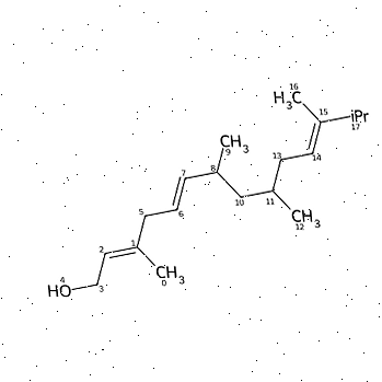 C/C(=C\CO)C/C=C/C(C)CC(C)C/C=C(\C)C(C)C